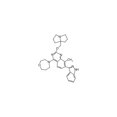 Cc1c(-c2n[nH]c3ccccc23)ccc2c(N3CCCOCC3)nc(OCC34CCCN3CCC4)nc12